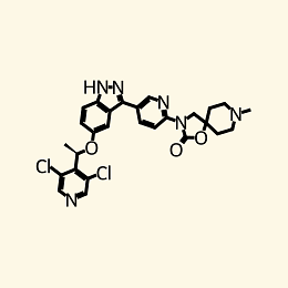 C[C@@H](Oc1ccc2[nH]nc(-c3ccc(N4CC5(CCN(C)CC5)OC4=O)nc3)c2c1)c1c(Cl)cncc1Cl